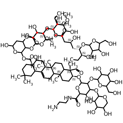 CC[C@H](C)[C@H](C[C@H](O)CC(=O)OC1CC(O)OC(OC(=O)[C@]23CCC(C)(C)CC2C2=CCC4[C@@]5(C)CC[C@H](OC6OC(C(=O)NCCN)C(O)C(OC7OCC(O)C(O)C7O)C6OC6OC(CO)C(O)C(O)C6O)[C@@](C)(C=O)C5CC[C@@]4(C)[C@]2(C)C[C@H]3O)C1OC1OC(C)C(OC2OCC(O)C(OC)C2O)C(O)C1O)OC(=O)C[C@@H](O)C[C@H](OC1OC(CO)C(O)C1O)[C@@H](C)CC